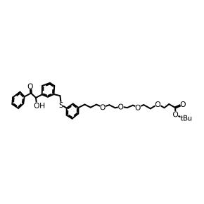 CC(C)(C)OC(=O)CCOCCOCCOCCOCCCc1cccc(SCc2cccc(C(O)C(=O)c3ccccc3)c2)c1